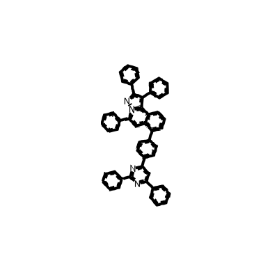 c1ccc(-c2cc(-c3ccc(-c4cccc5c4cc(-c4ccccc4)n4nc(-c6ccccc6)c(-c6ccccc6)c54)cc3)nc(-c3ccccc3)n2)cc1